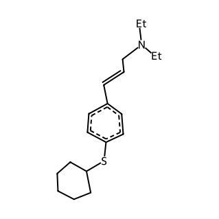 CCN(CC)CC=Cc1ccc(SC2CCCCC2)cc1